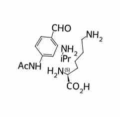 CC(=O)Nc1ccc(C=O)cc1.CC(C)N.NCCCC[C@H](N)C(=O)O